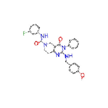 COc1ccc(CNc2nc3c(c(=O)n2-c2ccccc2)CN(C(=O)Nc2cccc(F)c2)CC3)cc1